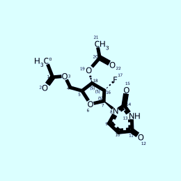 CC(=O)OCC1O[C@H](n2ccc(=O)[nH]c2=O)[C@@H](F)[C@H]1OC(C)=O